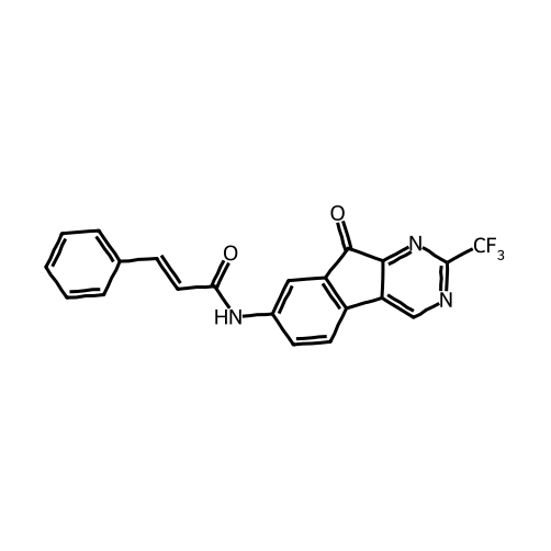 O=C(/C=C/c1ccccc1)Nc1ccc2c(c1)C(=O)c1nc(C(F)(F)F)ncc1-2